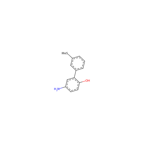 CSc1cccc(-c2cc(N)ccc2O)c1